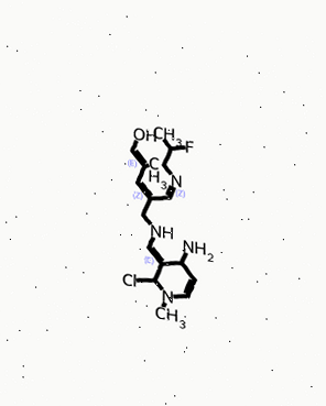 CC(/C=C(\C=N/CC(C)F)CN/C=C1\C(N)C=CN(C)C1Cl)=C\O